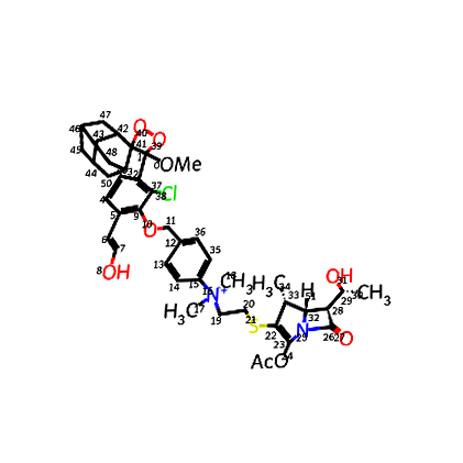 COC1(c2ccc(/C=C/O)c(OCc3ccc([N+](C)(C)CCSC4=C(OC(C)=O)N5C(=O)[C@H]([C@@H](C)O)[C@H]5[C@H]4C)cc3)c2Cl)OOC12C1CC3CC(C1)CC2C3